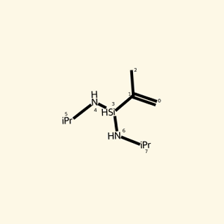 C=C(C)[SiH](NC(C)C)NC(C)C